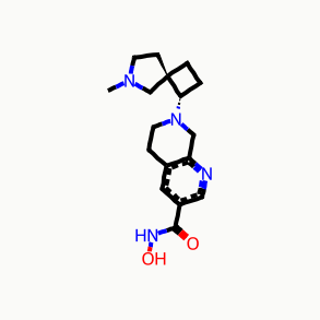 CN1CC[C@]2(CC[C@@H]2N2CCc3cc(C(=O)NO)cnc3C2)C1